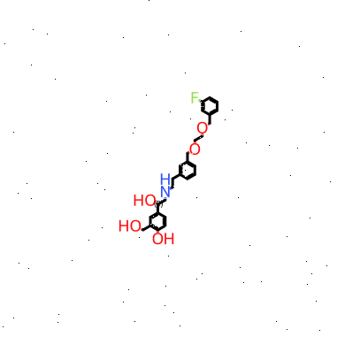 OCc1cc([C@@H](O)CNCCc2cccc(COCCOCc3cccc(F)c3)c2)ccc1O